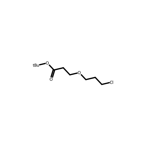 CC(C)(C)OC(=O)CCOCCCCl